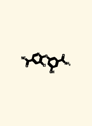 N#CC(=O)c1cnc(Oc2cc(O)cc(C(N)=O)c2)c(Cl)c1